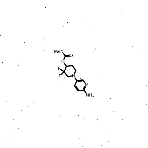 CNC(=O)OC1CCN(c2ccc(N)nc2)CC1(F)F